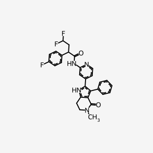 CN1CCc2[nH]c(-c3ccnc(NC(=O)C(CC(F)F)c4ccc(F)cc4)c3)c(-c3ccccc3)c2C1=O